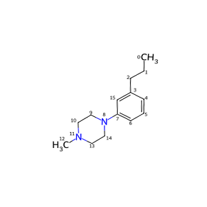 CCCc1cccc(N2CCN(C)CC2)c1